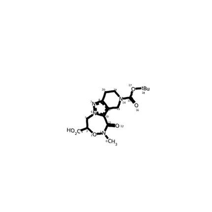 CN1OC(C(=O)O)Cn2nc3c(c2C1=O)CN(C(=O)OC(C)(C)C)CC3